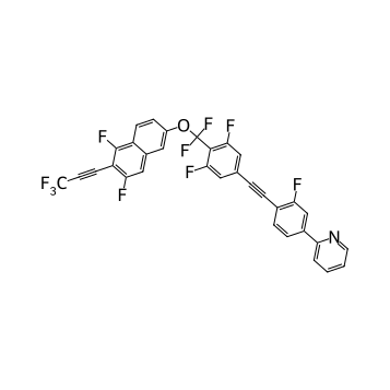 Fc1cc(-c2ccccn2)ccc1C#Cc1cc(F)c(C(F)(F)Oc2ccc3c(F)c(C#CC(F)(F)F)c(F)cc3c2)c(F)c1